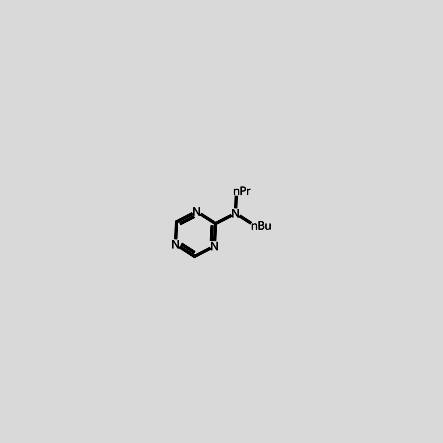 CCCCN(CCC)c1ncncn1